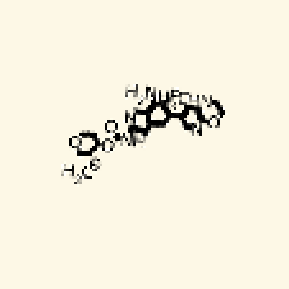 CO[C@@H]1COCC[C@@H]1OC(=O)Nc1cc2cc(-c3cnc4c(c3C)NCCO4)c(F)c(N)c2cn1